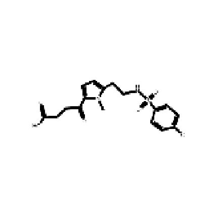 Cn1c(CCNS(=O)(=O)c2ccc(Cl)cc2)ccc1C(=O)CCC(=O)O